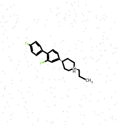 CCC[Si@H]1CC[C@H](c2ccc(-c3ccc(F)cc3)c(F)c2)CC1